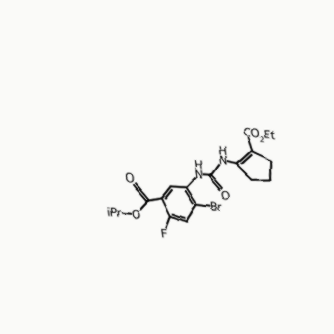 CCOC(=O)C1=C(NC(=O)Nc2cc(C(=O)OC(C)C)c(F)cc2Br)CCC1